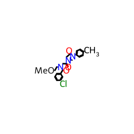 COCCN(CC(=O)N1CC(=O)N(c2ccc(C)cc2)C1)C(=O)c1cccc(Cl)c1